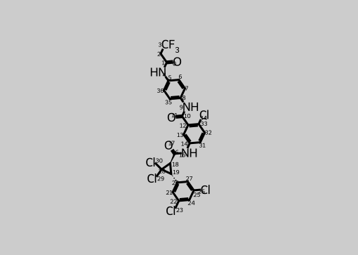 O=C(CC(F)(F)F)Nc1ccc(NC(=O)c2cc(NC(=O)[C@H]3[C@H](c4cc(Cl)cc(Cl)c4)C3(Cl)Cl)ccc2Cl)cc1